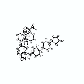 CN(C)C(=O)N1CCC[C@@H]2[C@H]1CCCN2c1cnc(C#N)c(Nc2ccc(C3CCN(C4CCCC4)CC3)cc2)n1